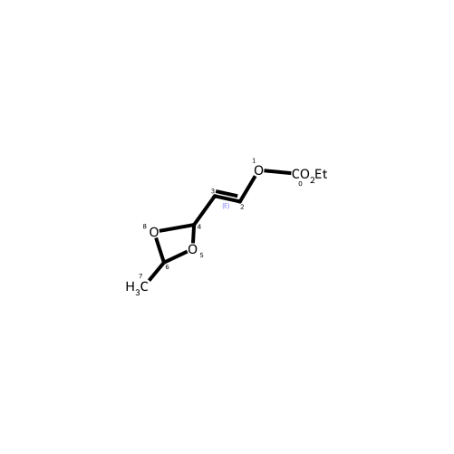 CCOC(=O)O/C=C/C1OC(C)O1